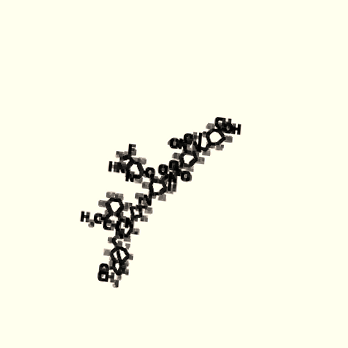 COC1C2CC3CCC(CN4CCN(C5CC6(C5)CN(c5ccc(C(=O)NS(=O)(=O)c7ccc(NCC8CCC(C)(O)CC8)c([N+](=O)[O-])c7)c(Oc7cnc8[nH]cc(F)c8c7)c5)C6)[C@H](c5ccccc5C(C)C)C4)(C2)CC31